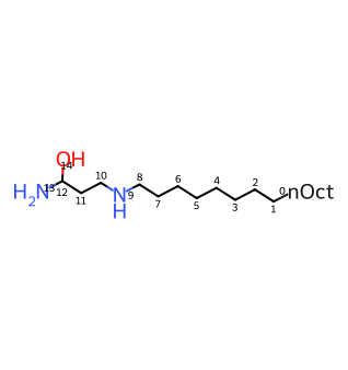 CCCCCCCCCCCCCCCCNCCC(N)O